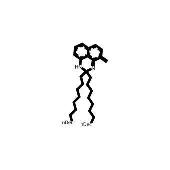 C=c1ccc2cccc3c2c1=NC(CCCCCCCCCCCCCCCCC)(CCCCCCCCCCCCCCCCC)N3